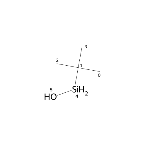 CC(C)(C)[SiH2]O